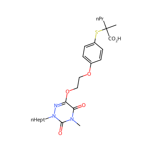 CCCCCCCn1nc(OCCOc2ccc(SC(C)(CCC)C(=O)O)cc2)c(=O)n(C)c1=O